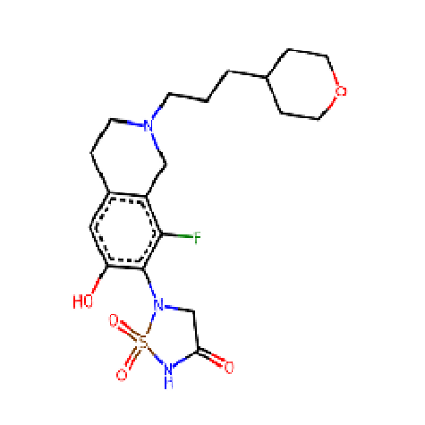 O=C1CN(c2c(O)cc3c(c2F)CN(CCCC2CCOCC2)CC3)S(=O)(=O)N1